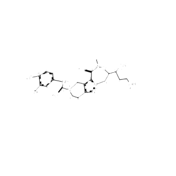 CN1CC(C(O)CCO)Cn2nc3c(c2C1=O)CN(C(=O)Nc1ccc(F)c(Cl)c1)CC3